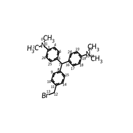 CN(C)c1ccc(C(c2ccc(CBr)cc2)c2ccc(N(C)C)cc2)cc1